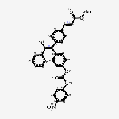 CC/C(=C(\c1ccc(/C=C/C(=O)OC(C)(C)C)cc1)c1ccc(OC(=O)Oc2ccc([N+](=O)[O-])cc2)cc1)c1ccccc1